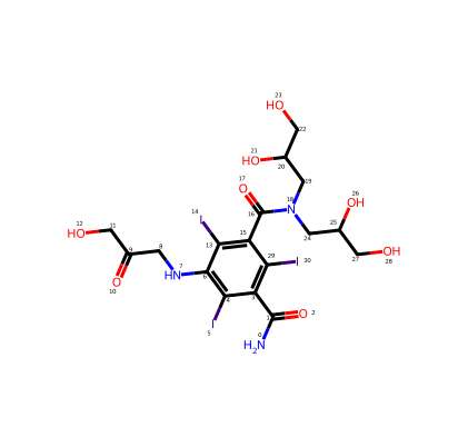 NC(=O)c1c(I)c(NCC(=O)CO)c(I)c(C(=O)N(CC(O)CO)CC(O)CO)c1I